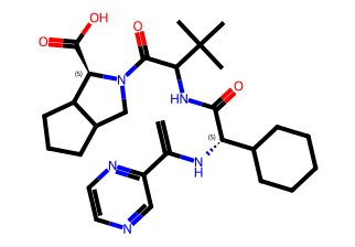 C=C(N[C@H](C(=O)NC(C(=O)N1CC2CCCC2[C@H]1C(=O)O)C(C)(C)C)C1CCCCC1)c1cnccn1